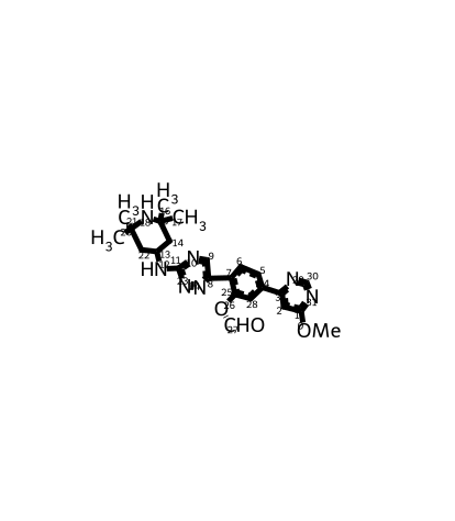 COc1cc(-c2ccc(-c3cnc(NC4CC(C)(C)NC(C)(C)C4)nn3)c(OC=O)c2)ncn1